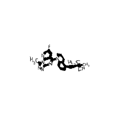 Cc1nnc2nc(N3CCCc4c(C#CC(C)(C)C#N)cccc43)c3cc(F)cnc3n12